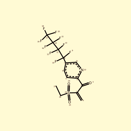 C=C(C(=O)c1ccc(C(F)(F)C(F)(F)C(F)(F)C(F)(F)F)cn1)S(=O)(=O)CC